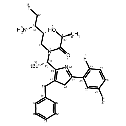 C[C@H](O)C(=O)N(CC[C@H](N)CF)[C@H](C1=C(Cc2ccccc2)CC(c2cc(F)ccc2F)=N1)C(C)(C)C